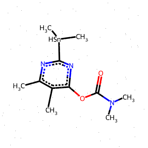 Cc1n[c]([SnH]([CH3])[CH3])nc(OC(=O)N(C)C)c1C